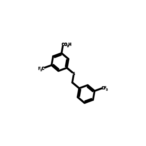 O=C(O)c1cc(SCc2cccc(C(F)(F)F)c2)cc(C(F)(F)F)c1